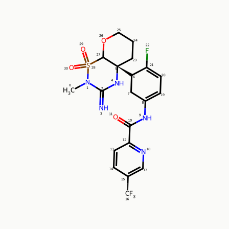 CN1C(=N)N[C@@]2(C3CC(NC(=O)c4ccc(C(F)(F)F)cn4)=CC=C3F)CCCOC2S1(=O)=O